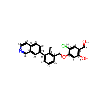 Cc1c(COc2cc(O)c(C=O)cc2Cl)cccc1-c1ccc2ccncc2c1